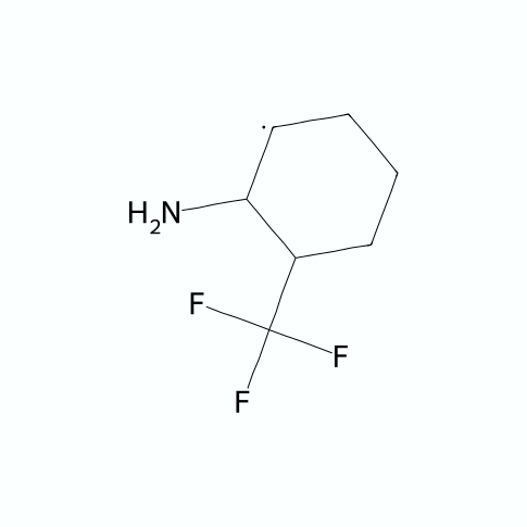 NC1[CH]CCCC1C(F)(F)F